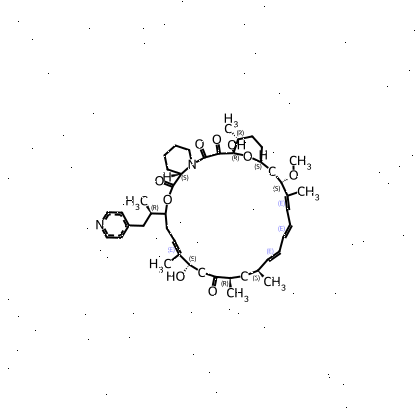 CO[C@H]1C[C@@H]2CC[C@@H](C)[C@@](O)(O2)C(=O)C(=O)N2CCCC[C@H]2C(=O)OC([C@H](C)Cc2ccncc2)C/C=C(\C)[C@@H](O)CC(=O)[C@H](C)C[C@H](C)/C=C/C=C/C=C/1C